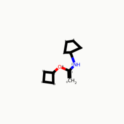 C=C(NC1CCCC1)OC1CCC1